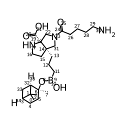 CC1(C)[C@H]2CC[C@](C)(OB(O)CCC[C@]34CCN[C@@]3(C(=O)O)CN(C(=O)CCCCN)C4)[C@@H]1C2